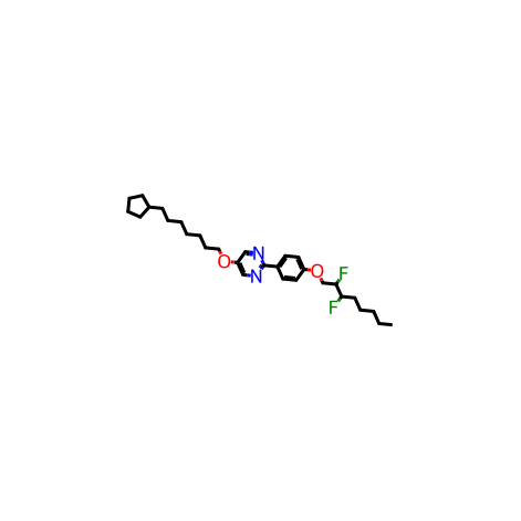 CCCCCC(F)C(F)COc1ccc(-c2ncc(OCCCCCCCC3CCCC3)cn2)cc1